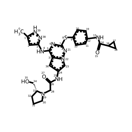 Cc1cc(Nc2nc(Sc3ccc(NC(=O)C4CC4)cc3)nn3cc(NC(=O)CN4CCC[C@@H]4CO)cc23)n[nH]1